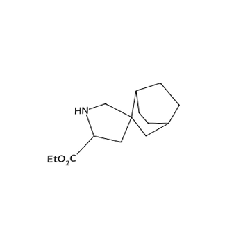 CCOC(=O)C1CC2(CN1)CC1CCC2CC1